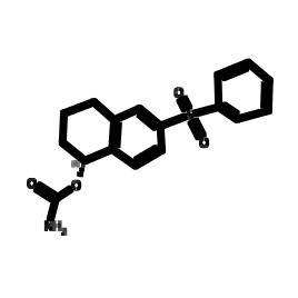 NC(=O)O[C@@H]1CCCc2cc(S(=O)(=O)c3ccccc3)ccc21